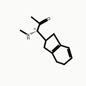 CN[C@H](C(C)=O)C1CC2=C(CCC=C2)C1